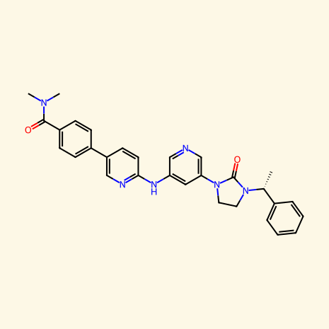 C[C@H](c1ccccc1)N1CCN(c2cncc(Nc3ccc(-c4ccc(C(=O)N(C)C)cc4)cn3)c2)C1=O